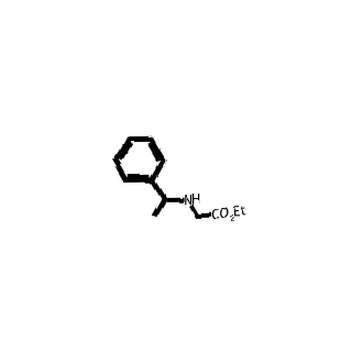 CCOC(=O)CNC(C)c1ccccc1